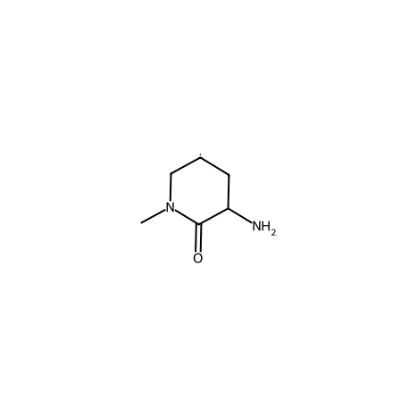 CN1C[CH]CC(N)C1=O